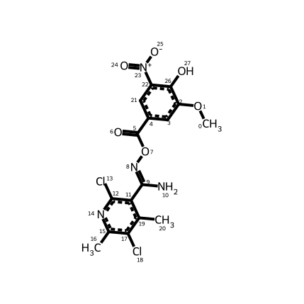 COc1cc(C(=O)O/N=C(\N)c2c(Cl)nc(C)c(Cl)c2C)cc([N+](=O)[O-])c1O